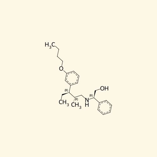 CCCCOc1cccc([C@H](CC)[C@@H](C)CN[C@@H](CO)c2ccccc2)c1